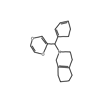 C1=CCCC(C(C2=COC=CO2)N2CCC3=C(CCCC3)C2)=C1